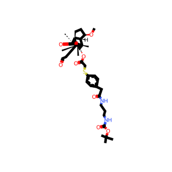 CO[C@@H]1CC[C@]23CC[C@@H](C)[C@](C)([C@H]12)[C@H](OC(=O)CSc1ccc(CC(=O)NCCCNC(=O)OC(C)(C)C)cc1)C[C@](C)(CC=O)C(=O)[C@@H]3C